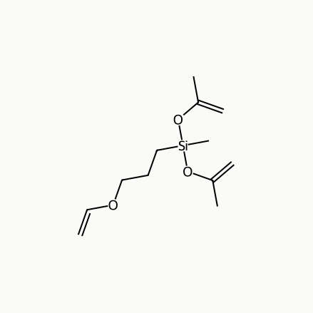 C=COCCC[Si](C)(OC(=C)C)OC(=C)C